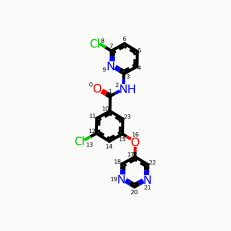 O=C(Nc1cccc(Cl)n1)c1cc(Cl)cc(Oc2cncnc2)c1